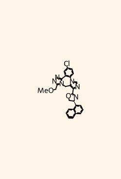 COCc1nnc2n1Cc1c(C3=N[C@@H](c4cccc5c#cccc45)CO3)ncn1-c1ccc(Cl)cc1-2